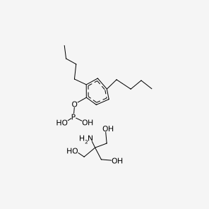 CCCCc1ccc(OP(O)O)c(CCCC)c1.NC(CO)(CO)CO